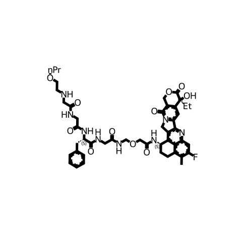 CCCOCCNCC(=O)NCC(=O)N[C@@H](Cc1ccccc1)C(=O)NCC(=O)NCOCC(=O)N[C@H]1CCc2c(C)c(F)cc3nc4c(c1c23)Cn1c-4cc2c(c1=O)COC(=O)[C@]2(O)CC